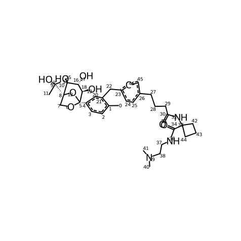 Cc1ccc([C@]23OC[C@](C(C)(C)O)(O2)[C@@H](O)[C@H](O)[C@H]3O)cc1Cc1ccc(CCCC(=O)NC2(C(=O)NCCN(C)C)CCC2)cc1